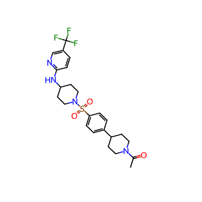 CC(=O)N1CCC(c2ccc(S(=O)(=O)N3CCC(Nc4ccc(C(F)(F)F)cn4)CC3)cc2)CC1